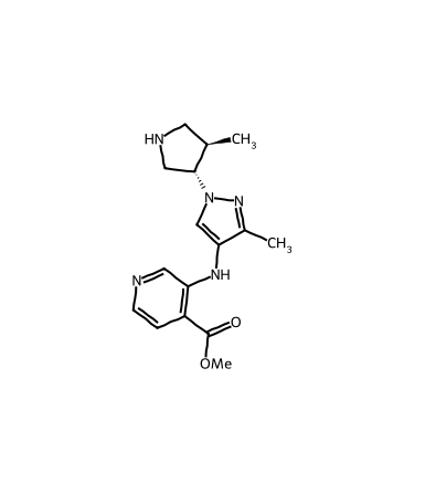 COC(=O)c1ccncc1Nc1cn([C@@H]2CNC[C@H]2C)nc1C